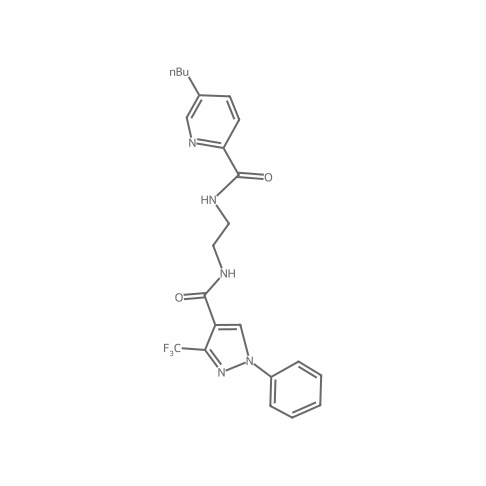 CCCCc1ccc(C(=O)NCCNC(=O)c2cn(-c3ccccc3)nc2C(F)(F)F)nc1